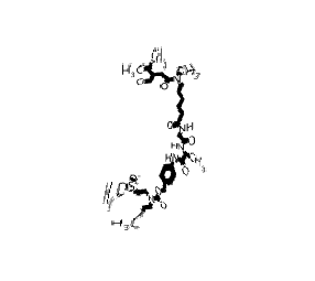 CCCN(CC[S+](C)[O-])C(=O)OCc1ccc(NC(=O)C(C)NC(=O)CNC(=O)CCCCCN(C)C(=O)CC(C=O)C(C)C)cc1